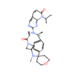 C=CC(=O)N1CC(N(C)C2(c3ccc([C@H](C)Nc4ncc5ccc(=O)n(C(C)C)c5n4)cc3)CCOCC2)C1